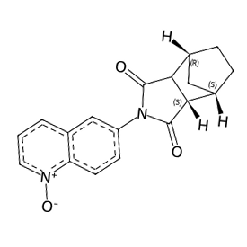 O=C1C2[C@@H]3CC[C@@H](C3)[C@@H]2C(=O)N1c1ccc2c(ccc[n+]2[O-])c1